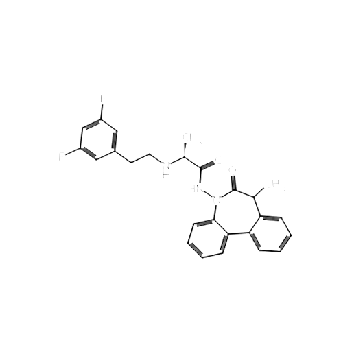 CC1C(=O)N(NC(=O)[C@H](C)NCCc2cc(F)cc(F)c2)c2ccccc2-c2ccccc21